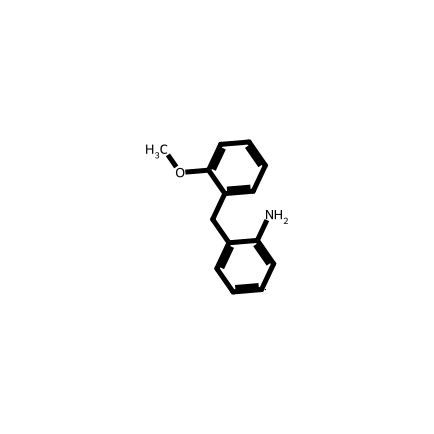 COc1ccccc1Cc1cc[c]cc1N